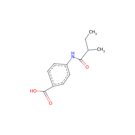 CCC(C)C(=O)Nc1ccc(C(=O)O)cc1